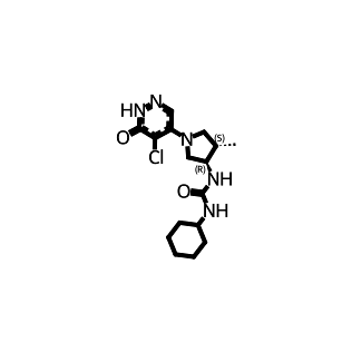 C[C@H]1CN(c2cn[nH]c(=O)c2Cl)C[C@@H]1NC(=O)NC1CCCCC1